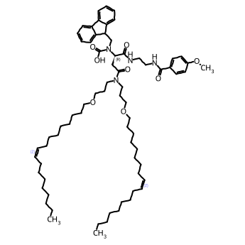 CCCCCCCC/C=C\CCCCCCCCOCCCN(CCCOCCCCCCCC/C=C\CCCCCCCC)C(=O)C[C@H](C(=O)NCCNC(=O)c1ccc(OC)cc1)N(CC1c2ccccc2-c2ccccc21)C(=O)O